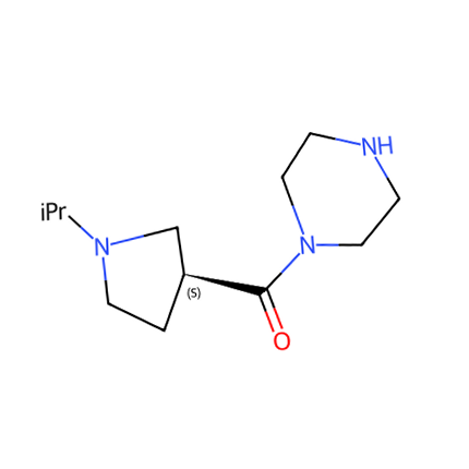 CC(C)N1CC[C@H](C(=O)N2CCNCC2)C1